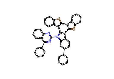 c1ccc(-c2ccc3c4c5sc6ccccc6c5c5sc6ccccc6c5c4n(-c4nc(-c5ccccc5)c5ccccc5n4)c3c2)cc1